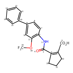 O=C(O)C1=C(C(=O)Nc2ccc(-c3ccccc3)cc2OC(F)(F)F)CCC1